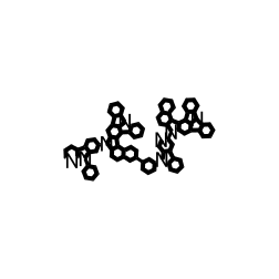 c1ccc(-n2c3cc(-n4c5ccc6cc(-c7cccc(-n8c9ccccc9c9cc(-n%10c%11ccc%12ccccc%12c%11c%11c%12c%13ccccc%13n%13c%14ccccc%14c(cc%11%10)c%12%13)ncc98)c7)ccc6c5c5c6c7ccccc7n7c8ccccc8c(cc54)c67)ccc3c3cccnc32)cc1